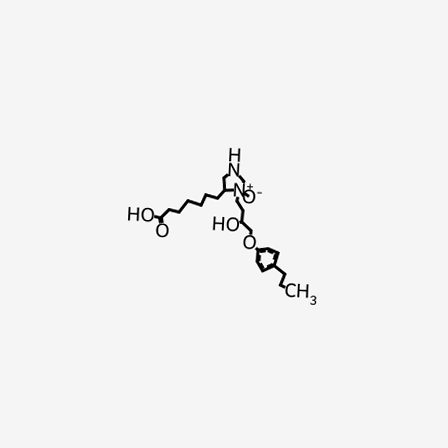 CCCc1ccc(OCC(O)CC[N+]2([O-])CNCC2CCCCCCC(=O)O)cc1